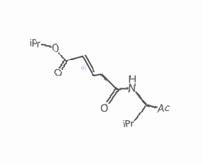 CC(=O)C(NC(=O)C/C=C/C(=O)OC(C)C)C(C)C